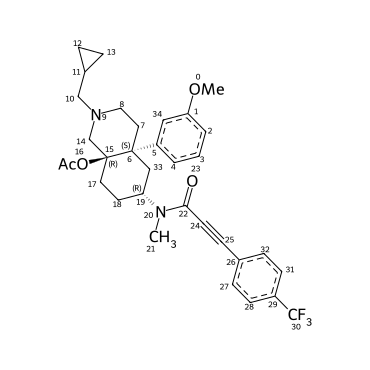 COc1cccc([C@@]23CCN(CC4CC4)C[C@@]2(OC(C)=O)CC[C@@H](N(C)C(=O)C#Cc2ccc(C(F)(F)F)cc2)C3)c1